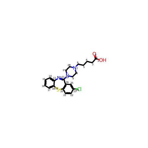 O=C(O)CCCCN1CCN(C2=Nc3ccccc3Sc3ccc(Cl)cc32)CC1